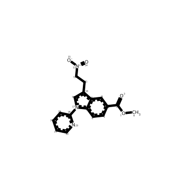 COC(=O)c1ccc2c(c1)c(CC[N+](=O)[O-])cn2-c1ccccn1